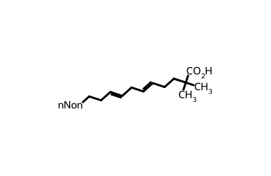 CCCCCCCCCCC/C=C/C/C=C/CCC(C)(C)C(=O)O